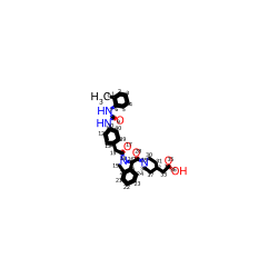 Cc1ccccc1NC(=O)Nc1ccc(CC(=O)N2Cc3ccccc3C2C(=O)N2CCC(CC(=O)O)CC2)cc1